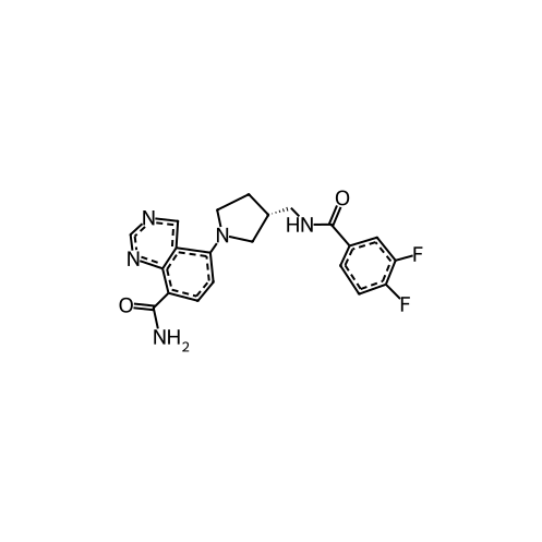 NC(=O)c1ccc(N2CC[C@H](CNC(=O)c3ccc(F)c(F)c3)C2)c2cncnc12